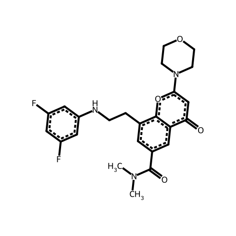 CN(C)C(=O)c1cc(CCNc2cc(F)cc(F)c2)c2oc(N3CCOCC3)cc(=O)c2c1